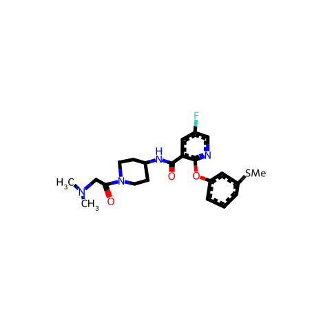 CSc1cccc(Oc2ncc(F)cc2C(=O)NC2CCN(C(=O)CN(C)C)CC2)c1